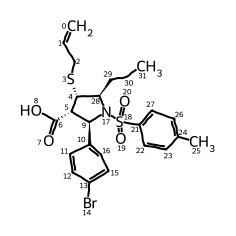 C=CCS[C@H]1[C@@H](C(=O)O)[C@H](c2ccc(Br)cc2)N(S(=O)(=O)c2ccc(C)cc2)[C@@H]1CCC